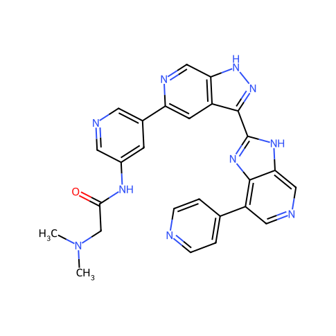 CN(C)CC(=O)Nc1cncc(-c2cc3c(-c4nc5c(-c6ccncc6)cncc5[nH]4)n[nH]c3cn2)c1